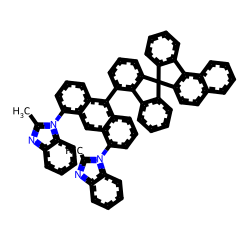 Cc1nc2ccccc2n1-c1cccc2c(-c3cccc4c3-c3ccccc3C43c4ccccc4-c4c3ccc3ccccc43)c3cccc(-n4c(C)nc5ccccc54)c3cc12